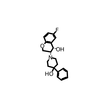 O[C@H]1c2cc(F)ccc2OC[C@H]1N1CCC(O)(c2ccccc2)CC1